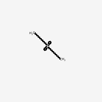 CCCCCCCCCCCCCCCCCC[PH](CCCCCCCCCCCCCCCCCC)(Cc1ccccc1)Cc1ccccc1